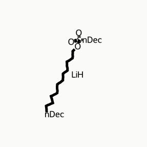 CCCCCCCCCCCCCCCCCCCCCOS(=O)(=O)CCCCCCCCCC.[LiH]